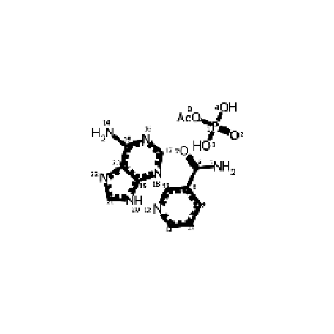 CC(=O)OP(=O)(O)O.NC(=O)c1cccnc1.Nc1ncnc2[nH]cnc12